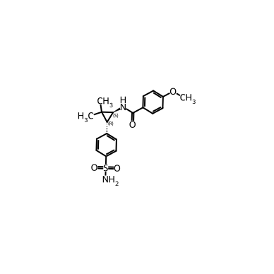 COc1ccc(C(=O)N[C@H]2[C@H](c3ccc(S(N)(=O)=O)cc3)C2(C)C)cc1